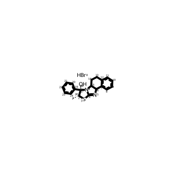 Br.C[C@H]1SC2=NC3c4ccccc4CCC3N2[C@]1(O)c1ccccc1